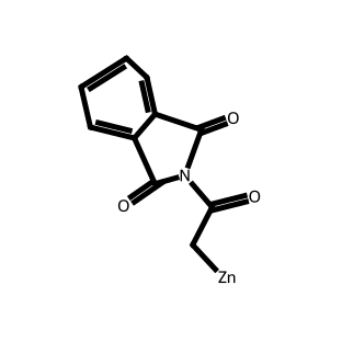 O=C([CH2][Zn])N1C(=O)c2ccccc2C1=O